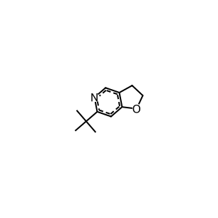 CC(C)(C)c1cc2c(cn1)CCO2